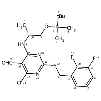 C[C@H](CO[Si](C)(C)C(C)(C)C)Nc1nc(SCc2cccc(F)c2F)nc(Cl)c1C=O